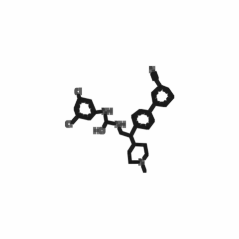 CN1CCC(C(CNC(O)Nc2cc(Cl)cc(Cl)c2)c2ccc(-c3cccc(C#N)c3)cc2)CC1